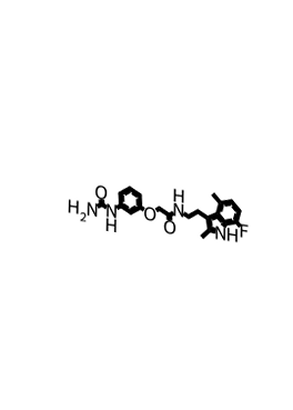 Cc1[nH]c2c(F)ccc(C)c2c1CCNC(=O)COc1cccc(NC(N)=O)c1